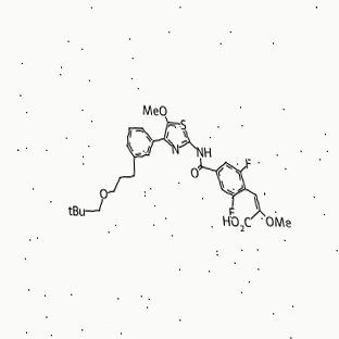 COC(=Cc1c(F)cc(C(=O)Nc2nc(-c3cccc(CCCOCC(C)(C)C)c3)c(OC)s2)cc1F)C(=O)O